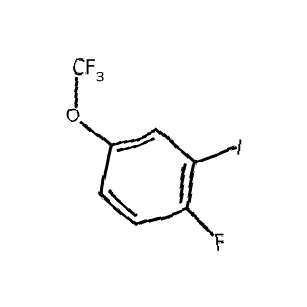 Fc1ccc(OC(F)(F)F)cc1I